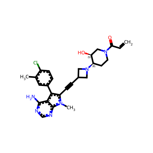 C=CC(=O)N1CC[C@@H](N2CC(C#Cc3c(-c4ccc(Cl)c(C)c4)c4c(N)ncnc4n3C)C2)[C@@H](O)C1